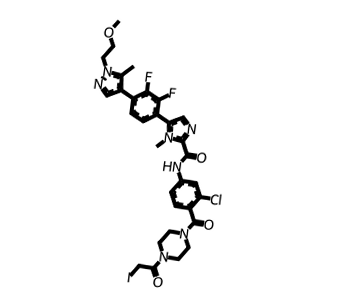 COCCn1ncc(-c2ccc(-c3cnc(C(=O)Nc4ccc(C(=O)N5CCN(C(=O)CI)CC5)c(Cl)c4)n3C)c(F)c2F)c1C